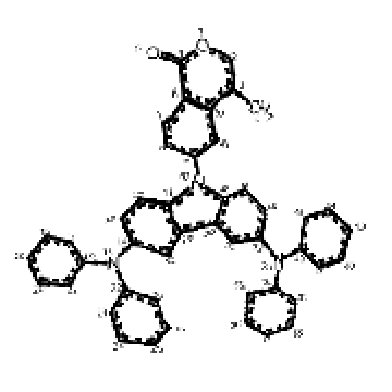 Cc1coc(=O)c2ccc(-n3c4ccc(N(c5ccccc5)c5ccccc5)cc4c4cc(N(c5ccccc5)c5ccccc5)ccc43)cc12